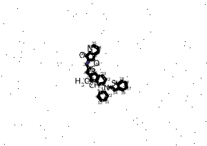 CC1(C)c2cc(N(c3ccccc3)c3cc4ccccc4s3)ccc2-c2sc(/C=C3\C(=O)c4cccnc4C3=O)cc21